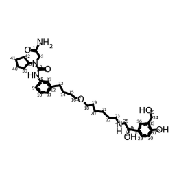 NC(=O)CN(C(=O)Nc1cccc(CCCCOCCCCCCNC[C@H](O)c2ccc(O)c(CO)c2)c1)C1CCCC1